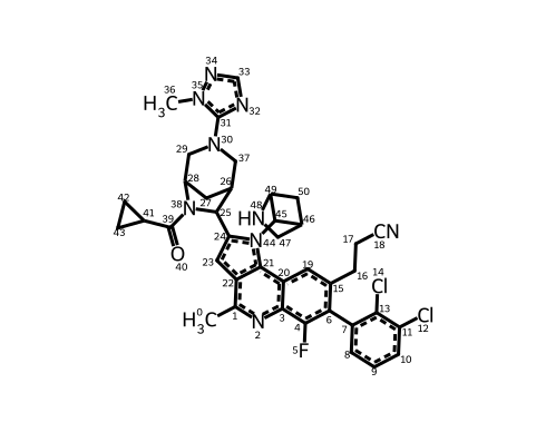 Cc1nc2c(F)c(-c3cccc(Cl)c3Cl)c(CCC#N)cc2c2c1cc(C1C3CC(CN(c4ncnn4C)C3)N1C(=O)C1CC1)n2C1C2CNC1C2